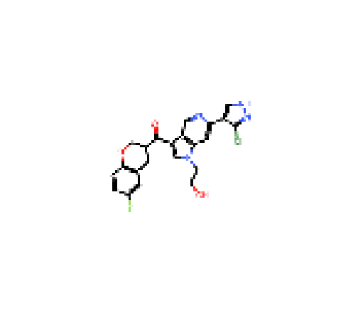 O=C(c1cn(CCO)c2cc(-c3c[nH]nc3Cl)ncc12)C1COc2ccc(F)cc2C1